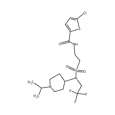 CC(C)N1CCC(N(CC(F)(F)F)S(=O)(=O)CCNC(=O)c2ccc(Cl)s2)CC1